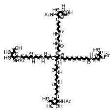 CC(=O)NC1C(OCCCCC(=O)NCCCNC(=O)CCOCC(COCCC(=O)NCCCNC(=O)CCCCOC2OC(CO)C(O)C(O)C2NC(C)=O)(COCCC(=O)NCCCNC(=O)CCCCOC2OC(CO)C(O)C(O)C2NC(C)=O)NC(=O)CCCCCCCCCCC(=O)NCC2CC(OC(C)C)C(CO)O2)OC(CO)C(O)C1O